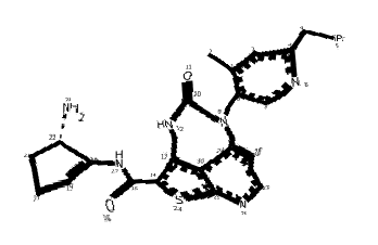 Cc1cc(CC(C)C)ncc1N1C(=O)Nc2c(C(=O)NC3=CCC[C@@H]3N)sc3nccc1c23